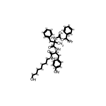 CC(C)C(OC(=O)NC(C)(Cc1ccccc1)C(=O)NC(Cc1ccc(O)cc1)C(=O)NCCCCCCCO)c1ccccc1